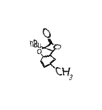 CCCCC12Oc3ccc(C)cc3C1OC2=O